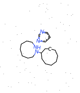 C1CCCCC(N2CCCCCCCN2)CCC1.c1cncnc1